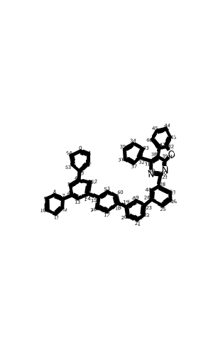 c1ccc(-c2cc(-c3ccccc3)cc(-c3ccc(-c4cccc(-c5cccc(-c6nc(-c7ccccc7)c7c(n6)oc6ccccc67)c5)c4)cc3)c2)cc1